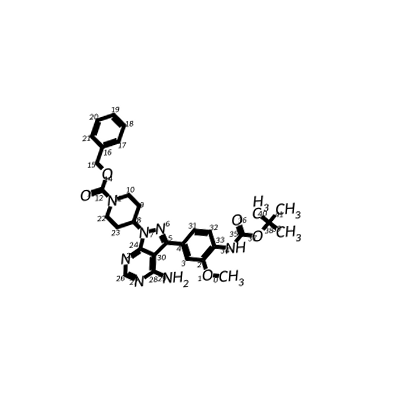 COc1cc(-c2nn(C3CCN(C(=O)OCc4ccccc4)CC3)c3ncnc(N)c23)ccc1NC(=O)OC(C)(C)C